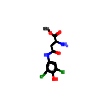 CC(C)(C)OC(=O)C(N)CC(=O)Nc1cc(Cl)c(O)c(Cl)c1